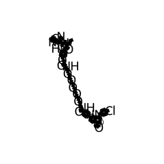 CCCC(C(=O)Nc1ccc(OCC(=O)NCCOCCOCCOCCOCCOCCNC(=O)c2ccc(-c3ccc4c(c3)[C@H](Nc3ccc(Cl)cc3)C[C@H](C)N4C(C)=O)cc2)cc1)N(C)C(=O)C(C#N)=Cc1nccs1